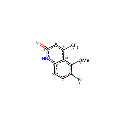 COc1c(Br)ccc2[nH]c(=O)cc(C(F)(F)F)c12